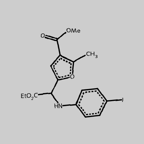 CCOC(=O)C(Nc1ccc(I)cc1)c1cc(C(=O)OC)c(C)o1